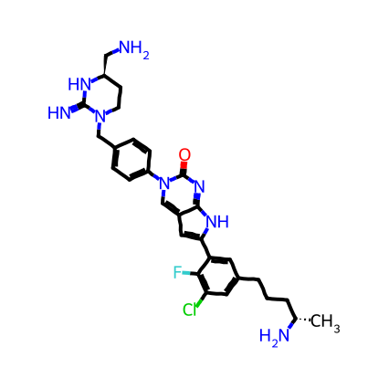 C[C@H](N)CCCc1cc(Cl)c(F)c(-c2cc3cn(-c4ccc(CN5CC[C@H](CN)NC5=N)cc4)c(=O)nc3[nH]2)c1